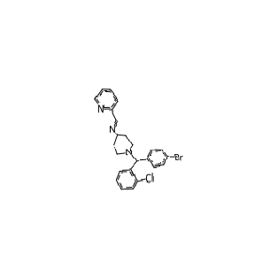 Clc1ccccc1C(c1ccc(Br)cc1)N1CCC(N=Cc2ccccn2)CC1